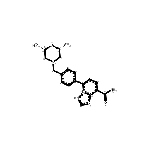 C[C@@H]1CN(Cc2ccc(-c3ccc(C(N)=O)c4n[c]nn34)cc2)C[C@H](C)O1